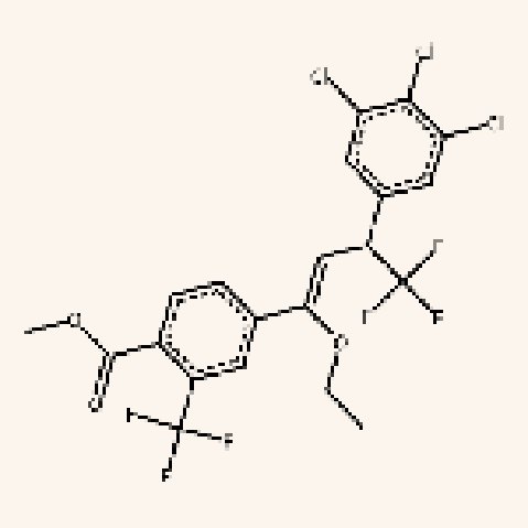 CCO/C(=C\C(c1cc(Cl)c(Cl)c(Cl)c1)C(F)(F)F)c1ccc(C(=O)OC)c(C(F)(F)F)c1